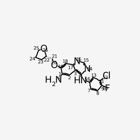 Nc1cc2c(Nc3ccc(F)c(Cl)c3)ncnc2cc1OC[C@@H]1CCCO1